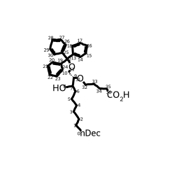 CCCCCCCCCCCCCCCCC(O)[C@H](COC(c1ccccc1)(c1ccccc1)c1ccccc1)OCCCCC(=O)O